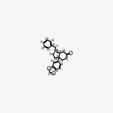 O=C1CCC2(c3ccc4c(c3)OCO4)CCN(Cc3ccccc3)C2C1